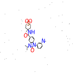 CC(C)n1c(=O)n(-c2cccc(N(C)C)c2)c2ccc(C(=O)NC3(C)CCS(=O)(=O)CC3)cc21